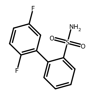 NS(=O)(=O)c1ccccc1-c1cc(F)ccc1F